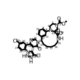 COC(=O)N1CCN2c3cccc(c3)[C@@H](n3cnc(-c4cc(Cl)ccc4N4C=C(Cl)NN4)cc3=O)CCCCCNC(=O)[C@H]2C1